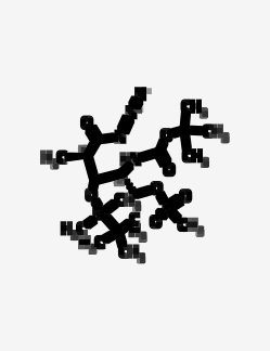 C[C@@H](C(=O)N=[N+]=[N-])C(O[Si](C)(C)C(C)(C)C)[C@@H](COS(C)(=O)=O)NC(=O)OC(C)(C)C